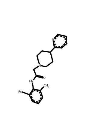 Cc1cccc(C(C)C)c1NC(=O)CN1CCC(c2ccccn2)CC1